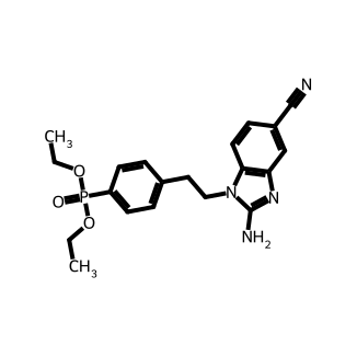 CCOP(=O)(OCC)c1ccc(CCn2c(N)nc3cc(C#N)ccc32)cc1